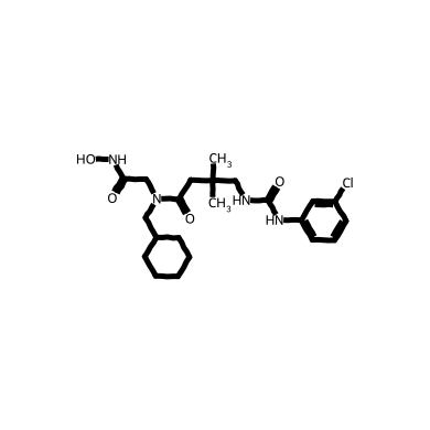 CC(C)(CNC(=O)Nc1cccc(Cl)c1)CC(=O)N(CC(=O)NO)CC1CCCCC1